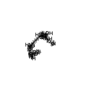 Cc1ncsc1-c1ccc(CNC(=O)[C@@H]2C[C@@H](O)CN2C(=O)[C@@H](NC(=O)CCCCCCCCCC(=O)Nc2nc3ccc(-c4cnc(C(F)(F)F)c(NC(=O)OC5CCCCC5)c4)cc3s2)C(C)(C)C)cc1